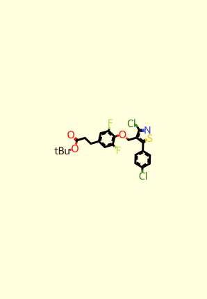 CC(C)(C)OC(=O)CCc1cc(F)c(OCc2c(Cl)nsc2-c2ccc(Cl)cc2)c(F)c1